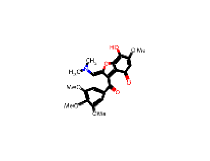 COC1=CC(=O)c2c(C(=O)c3cc(OC)c(OC)c(OC)c3)c(=CN(C)C)oc2=C1O